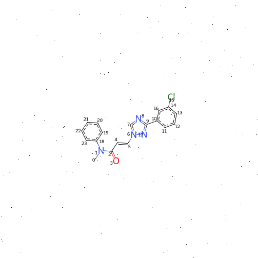 CN(C(=O)C=Cn1cnc(-c2cccc(Cl)c2)n1)c1ccccc1